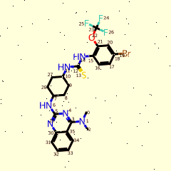 CN(C)c1nc(NC2CCC(NC(=S)Nc3ccc(Br)cc3OC(F)(F)F)CC2)nc2ccccc12